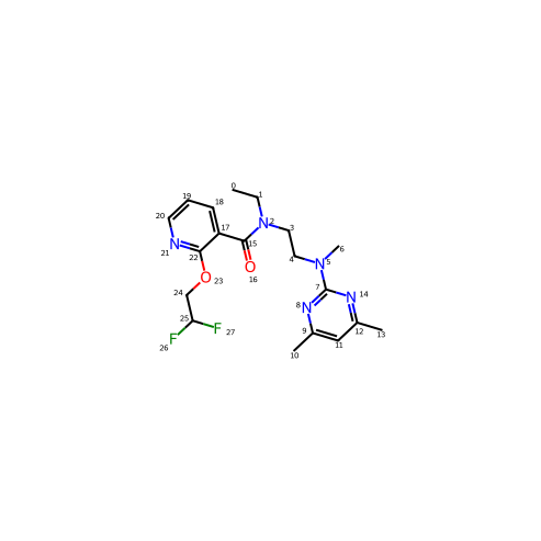 CCN(CCN(C)c1nc(C)cc(C)n1)C(=O)c1cccnc1OCC(F)F